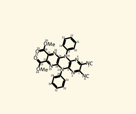 [C-]#[N+]c1nc2c(nc1[N+]#[C-])N(c1ccccc1)c1nc(C(=O)OC)c(C(=O)OC)nc1N2c1ccccc1